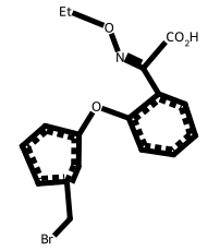 CCON=C(C(=O)O)c1ccccc1Oc1cccc(CBr)c1